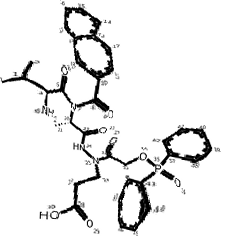 CC(C)[C@H](N)C(=O)N(C(=O)c1ccc2ccccc2c1)[C@@H](C)C(=O)NN(CCC(=O)O)C(=O)COP(=O)(c1ccccc1)c1ccccc1